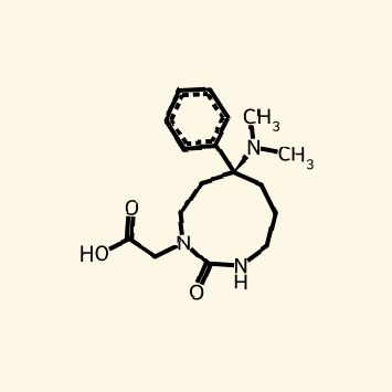 CN(C)[C@@]1(c2ccccc2)CCCNC(=O)N(CC(=O)O)CC1